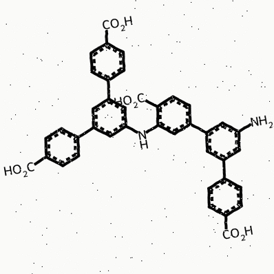 Nc1cc(-c2ccc(C(=O)O)cc2)cc(-c2ccc(C(=O)O)c(Nc3cc(-c4ccc(C(=O)O)cc4)cc(-c4ccc(C(=O)O)cc4)c3)c2)c1